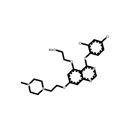 COCCOc1cc(OCCN2CCN(C)CC2)cc2ncnc(Sc3ccc(Cl)cc3Cl)c12